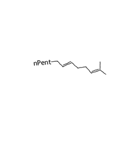 CCCCCCC=CCCC=C(C)C